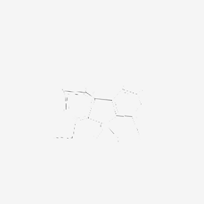 CCc1cccc2c1S(C)(C)C1=C2C=CCC1C